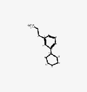 [CH2]CCc1cccc(C2CCCCC2)c1